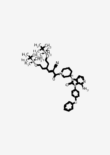 CC(C)(C)[Si](C)(C)OCCC(C=C(C#N)C(=O)N1CCC[C@@H](n2c(=O)n(-c3ccc(Oc4ccccc4)cc3)c3c(N)nccc32)C1)CCO[Si](C)(C)C(C)(C)C